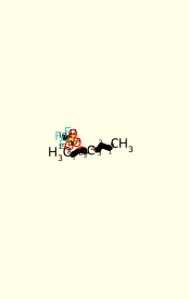 CCCCCC=C(CC)OS(=O)(=O)C(F)(F)F